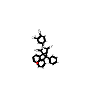 O=C1C2C(c3ccccc3)(C(=O)N1c1ccc(Cl)c(Cl)c1)C2(c1ccccc1)c1ccccc1